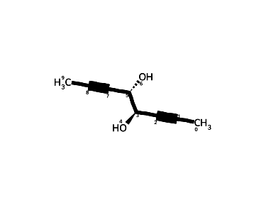 CC#C[C@@H](O)[C@@H](O)C#CC